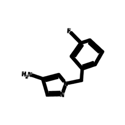 Nc1cnn(Cc2cccc(F)c2)c1